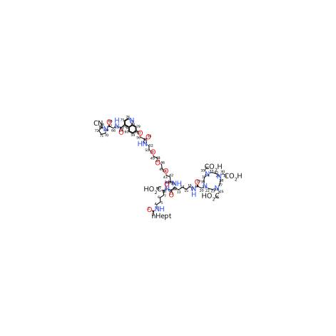 CCCCCCCC(=O)NCCCC[C@H](NC(=O)[C@H](CCCCNC(=O)CN1CCN(CC(=O)O)CCN(CC(=O)O)CCN(CC(=O)O)CC1)NC(=O)CCOCCOCCOCCNC(=O)COc1ccc2c(C(=O)NCC(=O)N3CCC[C@H]3C#N)ccnc2c1)C(=O)O